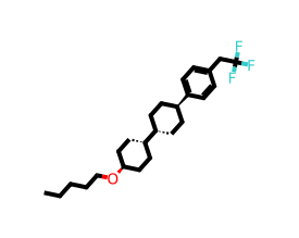 CCCCCO[C@H]1CC[C@H]([C@H]2CC[C@H](c3ccc(CC(F)(F)F)cc3)CC2)CC1